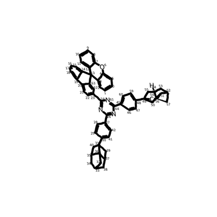 c1ccc2c(c1)Oc1ccccc1C21c2ccccc2-c2ccc(-c3nc(-c4ccc(C56CC7CC(CC(C7)C5)C6)cc4)nc(-c4ccc(C56CC7C8C[C@@H](C5)[C@@]7(C8)C6)cc4)n3)cc21